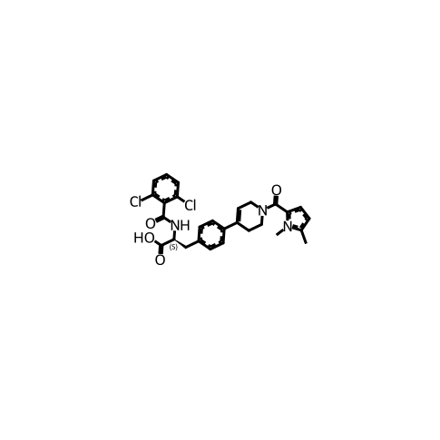 Cc1ccc(C(=O)N2CC=C(c3ccc(C[C@H](NC(=O)c4c(Cl)cccc4Cl)C(=O)O)cc3)CC2)n1C